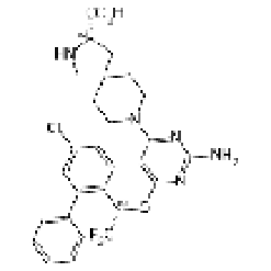 Nc1nc(O[C@@H](c2ccc(Cl)cc2-c2ccccc2)C(F)(F)F)cc(N2CCC3(CC2)CN[C@H](C(=O)O)C3)n1